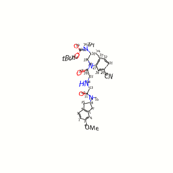 COc1ccc2c(c1)CC(N(C)C(=O)CNCC(=O)N(CCN(C(=O)OC(C)(C)C)C(C)C)c1cc(C#N)ccc1C)C2